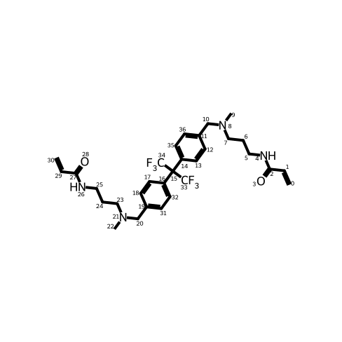 C=CC(=O)NCCCN(C)Cc1ccc(C(c2ccc(CN(C)CCCNC(=O)C=C)cc2)(C(F)(F)F)C(F)(F)F)cc1